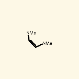 CN/C=C\NC